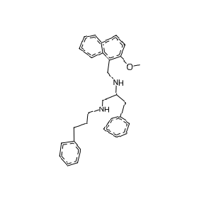 COc1ccc2ccccc2c1CNC(CNCCCc1ccccc1)Cc1ccccc1